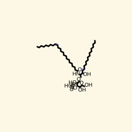 CCCCCCCC/C=C\CCCCCCCCCCCCCC(=O)NC(CO[C@@H]1OC(CO)[C@H](O)C(OS(=O)(=O)O)[C@@H]1O)[C@H](O)/C=C/CCCCCCCCCCCCC